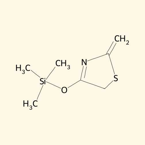 C=C1N=C(O[Si](C)(C)C)CS1